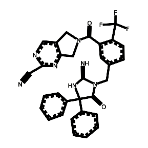 N#Cc1ncc2c(n1)CN(C(=O)c1cc(CN3C(=N)NC(c4ccccc4)(c4ccccc4)C3=O)ccc1C(F)(F)F)C2